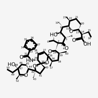 CCC(C(=O)[C@@H](C)[C@@H](O)[C@H](C)[C@@H]1O[C@@H]([C@@H](CC)C(=O)O)CC[C@@H]1C)[C@H]1O[C@]2(C=C[C@@H](NC(=O)c3ccccc3)[C@]3(CC[C@@](C)([C@H]4CC[C@](O)(CC)[C@H](C)O4)O3)O2)[C@H](C)C[C@@H]1C